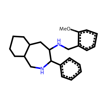 COc1ccccc1CNC1CC2CCCCC2CNC1c1ccccc1